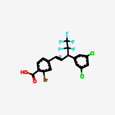 O=C(O)c1ccc(/C=C/C(c2cc(Cl)cc(Cl)c2)C(F)(F)C(F)(F)F)cc1Br